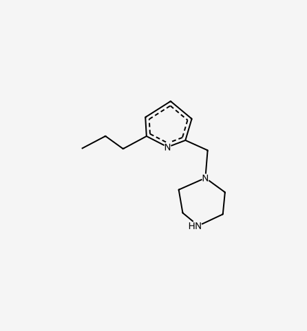 CCCc1cccc(CN2CCNCC2)n1